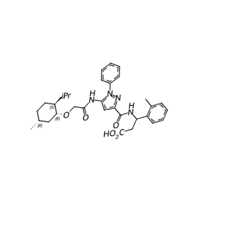 Cc1ccccc1C(CC(=O)O)NC(=O)c1cc(NC(=O)CO[C@@H]2C[C@H](C)CC[C@H]2C(C)C)n(-c2ccccc2)n1